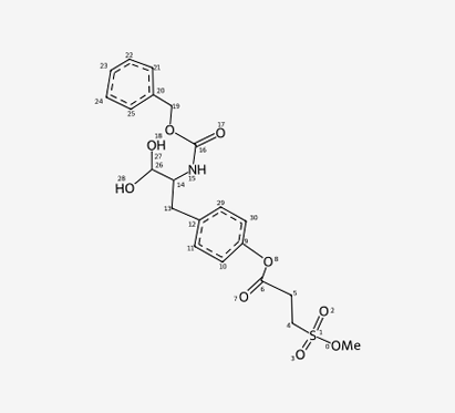 COS(=O)(=O)CCC(=O)Oc1ccc(CC(NC(=O)OCc2ccccc2)C(O)O)cc1